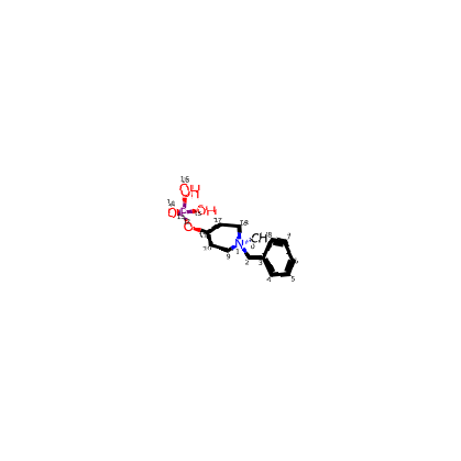 C[N+]1(Cc2ccccc2)CCC(OP(=O)(O)O)CC1